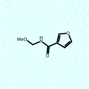 COCNC(=O)c1ccoc1